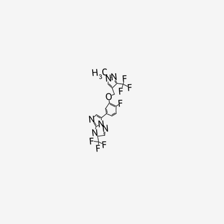 Cn1cc(COc2cc(-c3cnc4nc(C(F)(F)F)cnn34)ccc2F)c(C(F)(F)F)n1